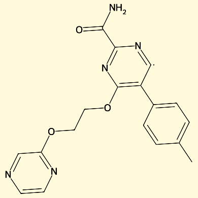 Cc1ccc(-c2[c]nc(C(N)=O)nc2OCCOc2cnccn2)cc1